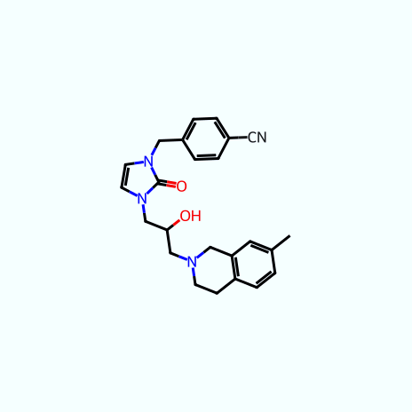 Cc1ccc2c(c1)CN(CC(O)Cn1ccn(Cc3ccc(C#N)cc3)c1=O)CC2